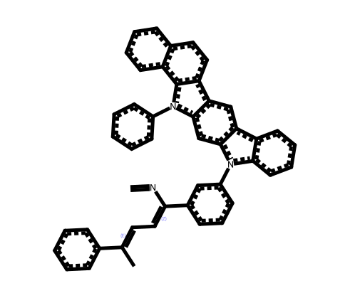 C=N/C(=C\C=C(/C)c1ccccc1)c1cccc(-n2c3ccccc3c3cc4c5ccc6ccccc6c5n(-c5ccccc5)c4cc32)c1